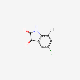 O=C1Nc2c(cc(Br)cc2C(F)(F)F)C1=O